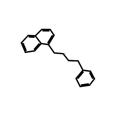 [CH](CCc1ccccc1)Cc1cccc2ccccc12